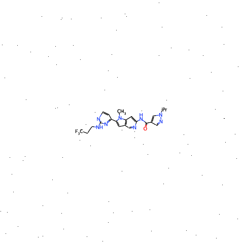 CC(C)n1cc(C(=O)Nc2cc3c(cn2)cc(-c2ccnc(NCCC(F)(F)F)n2)n3C)cn1